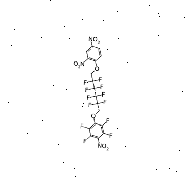 O=[N+]([O-])c1ccc(OCC(F)(F)C(F)(F)C(F)(F)C(F)(F)COc2c(F)c(F)c([N+](=O)[O-])c(F)c2F)c([N+](=O)[O-])c1